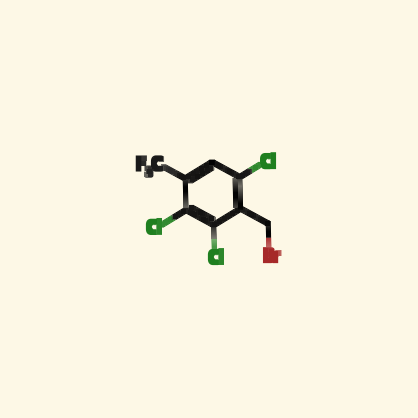 FC(F)(F)c1cc(Cl)c(CBr)c(Cl)c1Cl